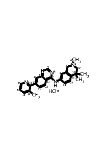 CN1Cc2cc(Nc3ncnc4cc(-c5ncccc5C(F)(F)F)ccc34)ccc2C(C)(C)C1.Cl